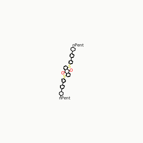 CCCCCC1CCC(c2ccc(-c3ccc(Sc4cccc5c4C(=O)c4cccc(Sc6ccc(-c7ccc(C8CCC(CCCCC)CC8)cc7)cc6)c4C5=O)cc3)cc2)CC1